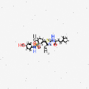 Cc1ccc(-c2sc(NC(=O)CCC3CCCC3)nc2C)cc1S(=O)(=O)Nc1ccc(O)cc1